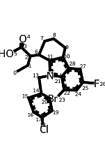 CCC(C(=O)O)C1CCCc2c1n(Cc1ccc(Cl)cc1)c1c(Br)cc(F)cc21